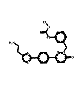 C=C(Nc1cccc(Cn2nc(-c3ccc(-c4noc(CCN)n4)cc3)ccc2=O)c1)OCC